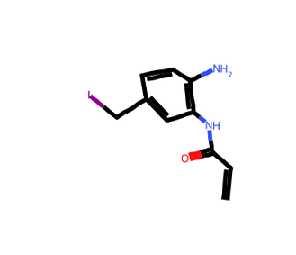 C=CC(=O)Nc1cc(CI)ccc1N